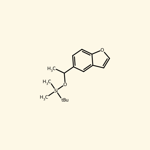 CC(O[Si](C)(C)C(C)(C)C)c1ccc2occc2c1